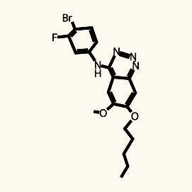 CCCCCOc1cc2nnnc(Nc3ccc(Br)c(F)c3)c2cc1OC